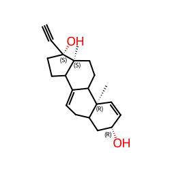 C#C[C@]1(O)CCC2C3=CCC4C[C@@H](O)C=C[C@]4(C)C3CC[C@@]21C